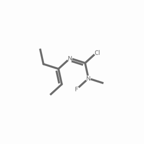 C/C=C(CC)/N=C(/Cl)N(C)F